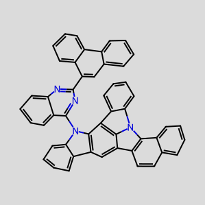 c1ccc2c(c1)cc(-c1nc(-n3c4ccccc4c4cc5c6ccc7ccccc7c6n6c7ccccc7c(c43)c56)c3ccccc3n1)c1ccccc12